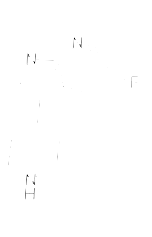 Cn1cc(C2CCNCC2)c2cc(F)cnc21